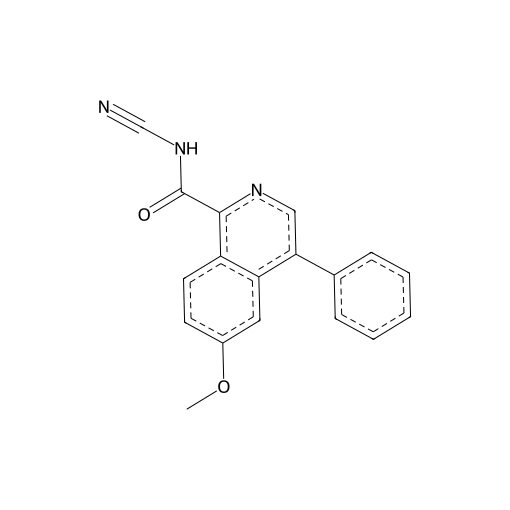 COc1ccc2c(C(=O)NC#N)ncc(-c3ccccc3)c2c1